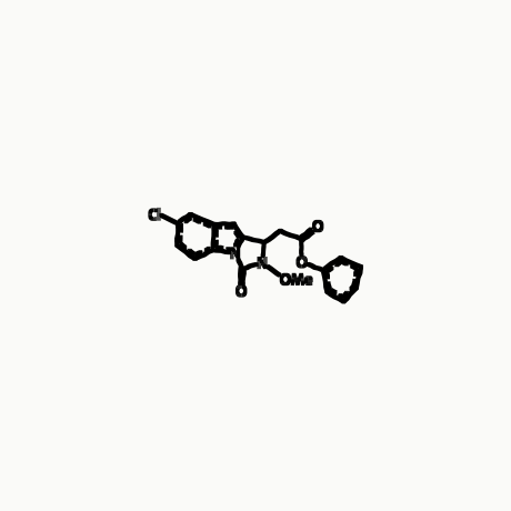 CON1C(=O)n2c(cc3cc(Cl)ccc32)C1CC(=O)Oc1ccccc1